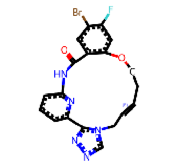 O=C1Nc2cccc(n2)-c2nncn2C/C=C/CCOc2cc(F)c(Br)cc21